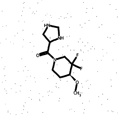 CO[C@H]1CCN(C(=O)C2CNCN2)CC1(F)F